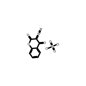 O=S(=O)(Cl)Cl.[N-]=[N+]=C1C(=O)Oc2ccccc2C1=O